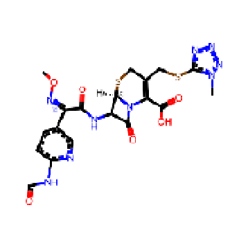 CO/N=C(\C(=O)NC1C(=O)N2C(C(=O)O)=C(CSc3nnnn3C)CS[C@H]12)c1ccc(NC=O)nc1